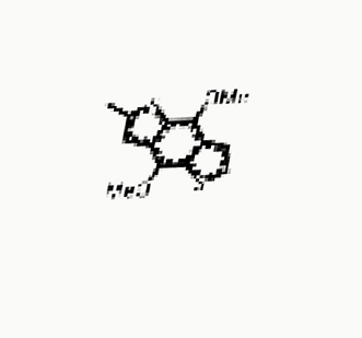 COc1c2cc(C)sc2c(OC)c2ccsc12